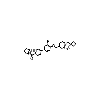 O=C(C1C=CC(c2ccc(OCC3CCN(CC4(C(F)(F)F)CCC4)CC3)c(F)c2)=CN1)N1CCCC1